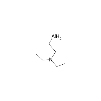 CCN(CC)C[CH2][AlH2]